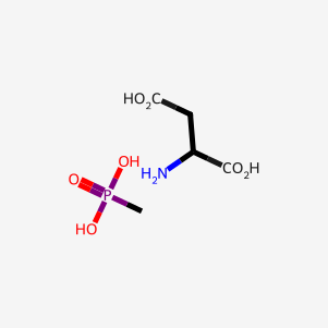 CP(=O)(O)O.NC(CC(=O)O)C(=O)O